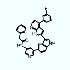 O=C(Cc1ccccc1)Nc1cncc(-c2ccc3[nH]nc(-c4cc5c(-c6cccc(F)c6)ccnc5[nH]4)c3c2)c1